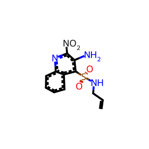 C=CCNS(=O)(=O)c1c(N)c([N+](=O)[O-])nc2ccccc12